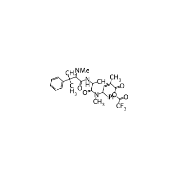 CNC(C(=O)NC(C)C(=O)N(C)C(C=C(C)C(=O)OC(=O)C(F)(F)F)C(C)C)C(C)(C)c1ccccc1